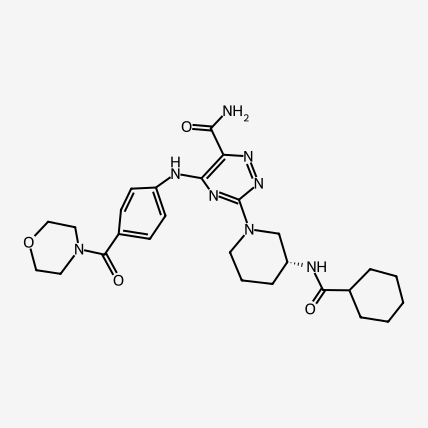 NC(=O)c1nnc(N2CCC[C@@H](NC(=O)C3CCCCC3)C2)nc1Nc1ccc(C(=O)N2CCOCC2)cc1